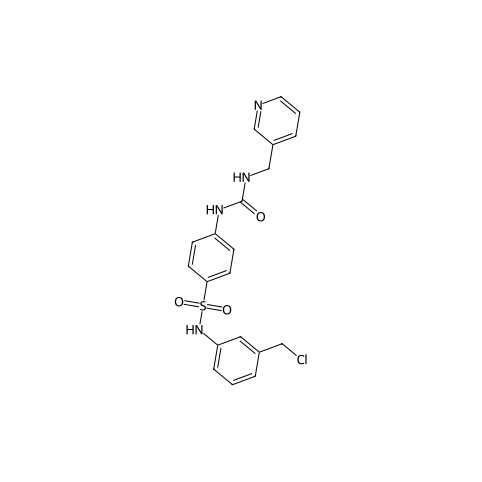 O=C(NCc1cccnc1)Nc1ccc(S(=O)(=O)Nc2cccc(CCl)c2)cc1